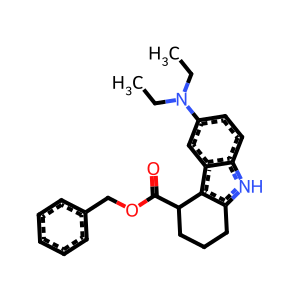 CCN(CC)c1ccc2[nH]c3c(c2c1)C(C(=O)OCc1ccccc1)CCC3